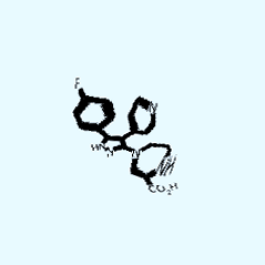 O=C(O)C1CN(c2n[nH]c(-c3ccc(F)cc3)c2-c2ccncc2)CCN1